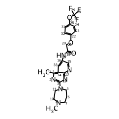 Cc1nc(N2CCCN(C)CC2)nc2ncc(NC(=O)COc3ccc(OC(F)(F)F)cc3)cc12